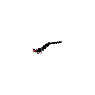 CCCCCCCCCCCCOc1ccc(-c2ccc(C(=O)Oc3ccc(C(=O)OC[C@@H](C)CC)c(Cl)c3)cc2)cc1